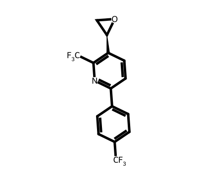 FC(F)(F)c1ccc(-c2ccc([C@H]3CO3)c(C(F)(F)F)n2)cc1